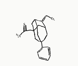 CCC=C1C2CC3(C(N)=S)CC1CC(c1ccccc1)(C2)C3